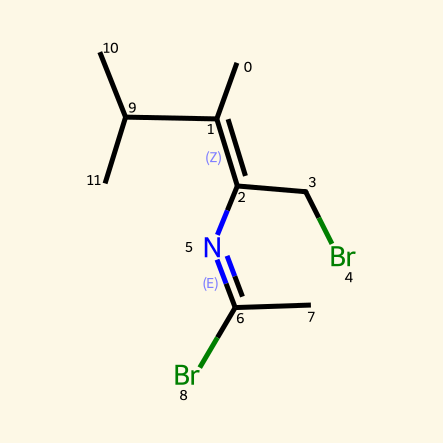 C/C(=C(CBr)/N=C(\C)Br)C(C)C